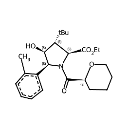 CCOC(=O)[C@@H]1[C@@H](C(C)(C)C)[C@H](O)[C@H](c2ccccc2C)N1C(=O)[C@@H]1CCCCO1